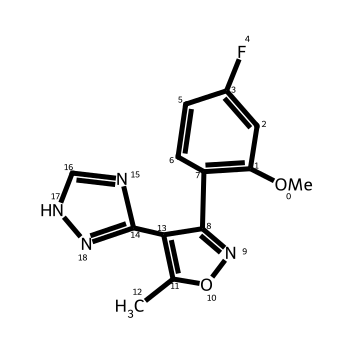 COc1cc(F)ccc1-c1noc(C)c1-c1nc[nH]n1